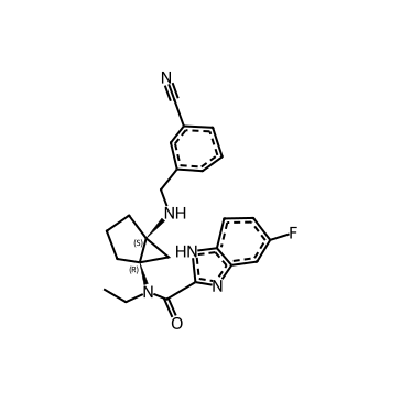 CCN(C(=O)c1nc2cc(F)ccc2[nH]1)[C@@]12CCC[C@]1(NCc1cccc(C#N)c1)C2